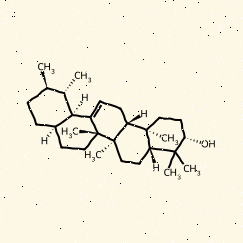 C[C@@H]1[C@H]2C3=CC[C@@H]4[C@@]5(C)CC[C@H](O)C(C)(C)[C@@H]5CC[C@@]4(C)[C@]3(C)CC[C@H]2CC[C@H]1C